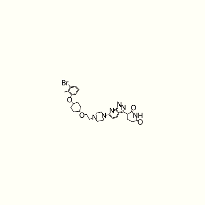 Cc1c(Br)cccc1OC1CCC(OCCN2CCN(c3ccc4c(C5CCC(=O)NC5=O)nn(C)c4n3)CC2)CC1